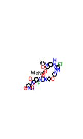 CNC(=O)COc1cc2cc(Nc3nc(N4CCC(OC5CC(N6CCN(c7ccc8c(c7F)CN(C7CCC(=O)NC7=O)C8=O)CC6)C5)CC4)ncc3Cl)ccc2n(C(C)C)c1=O